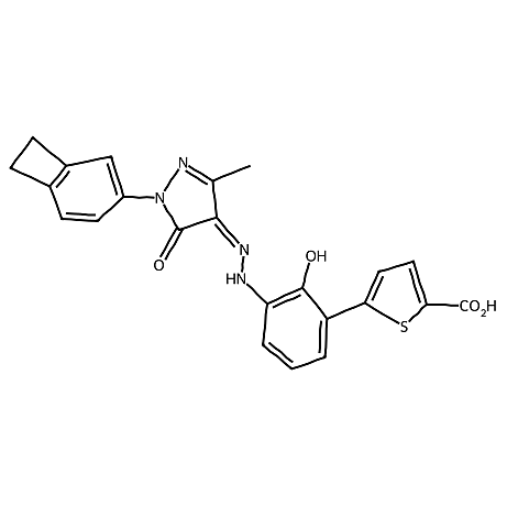 CC1=NN(c2ccc3c(c2)CC3)C(=O)C1=NNc1cccc(-c2ccc(C(=O)O)s2)c1O